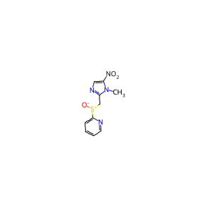 Cn1c([N+](=O)[O-])cnc1C[S+]([O-])c1ccccn1